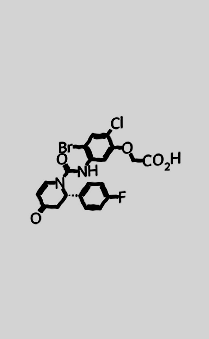 O=C(O)COc1cc(NC(=O)N2C=CC(=O)C[C@H]2c2ccc(F)cc2)c(Br)cc1Cl